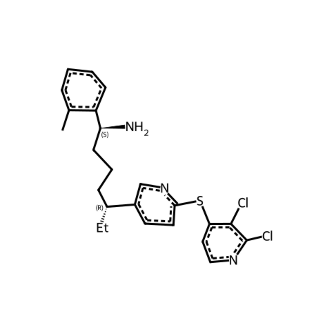 CC[C@H](CCC[C@H](N)c1ccccc1C)c1ccc(Sc2ccnc(Cl)c2Cl)nc1